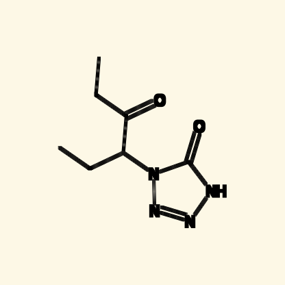 CCC(=O)C(CC)n1nn[nH]c1=O